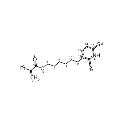 C=C(CC)C(=O)OCCCCCCn1ccc(=S)[nH]c1=S